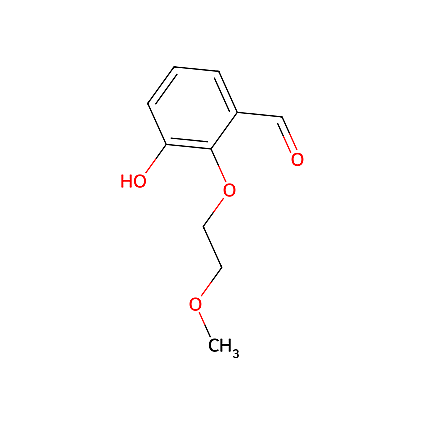 COCCOc1c(O)cccc1C=O